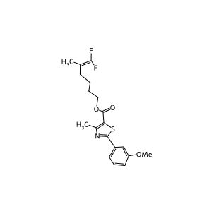 COc1cccc(-c2nc(C)c(C(=O)OCCCCC(C)=C(F)F)s2)c1